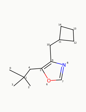 CC(C)(C)Cc1ocnc1CC1CCC1